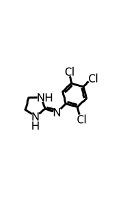 Clc1cc(Cl)c(N=C2NCCN2)cc1Cl